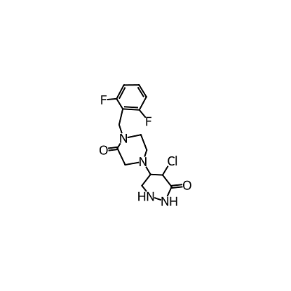 O=C1NNCC(N2CCN(Cc3c(F)cccc3F)C(=O)C2)C1Cl